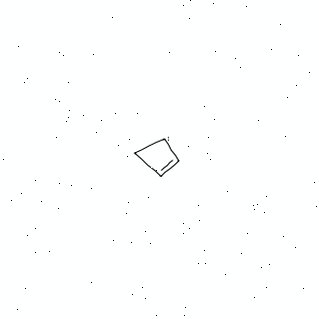 [C]1C=CC1